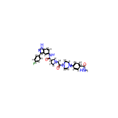 CNC(=O)c1ccc(N2CCN(C(=O)CN3CC[C@@H](C(=O)Nc4ccc5[nH]nc(-c6ccc(F)cc6)c5c4)C3)CC2)cc1